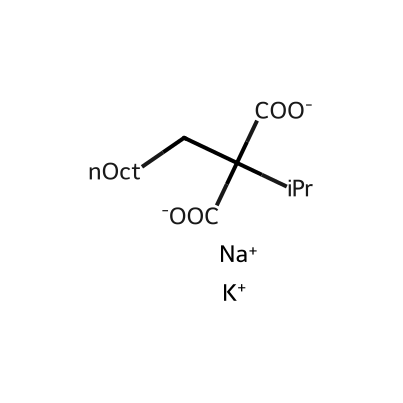 CCCCCCCCCC(C(=O)[O-])(C(=O)[O-])C(C)C.[K+].[Na+]